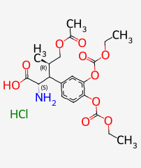 CCOC(=O)Oc1ccc(C([C@H](N)C(=O)O)[C@@H](C)COC(C)=O)cc1OC(=O)OCC.Cl